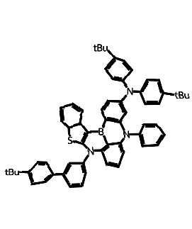 CC(C)(C)c1ccc(-c2cccc(N3C4=C(B5c6ccc(N(c7ccc(C(C)(C)C)cc7)c7ccc(C(C)(C)C)cc7)cc6N(c6ccccc6)c6cccc3c65)C3C=CC=CC3S4)c2)cc1